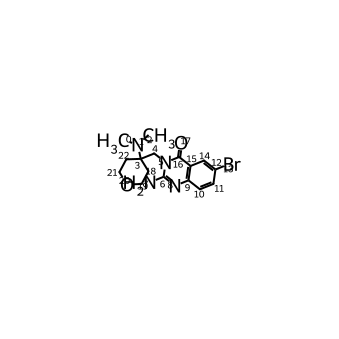 CN(C)C1(Cn2c(N)nc3ccc(Br)cc3c2=O)CCOCC1